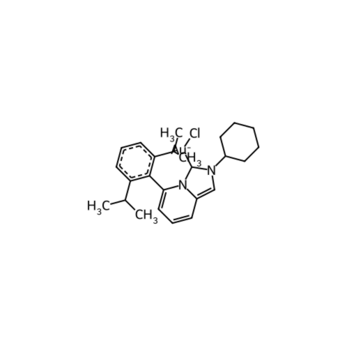 CC(C)c1cccc(C(C)C)c1C1=CC=CC2=CN(C3CCCCC3)[CH]([Au-][Cl])N21